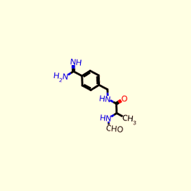 CC(NC=O)C(=O)NCc1ccc(C(=N)N)cc1